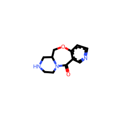 O=C1c2cnccc2OCC2CNCCN12